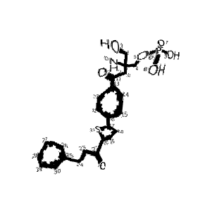 NC(CO)(COP(=O)(O)O)CC(=O)c1ccc(-c2ccc(C(=O)CCc3ccccc3)s2)cc1